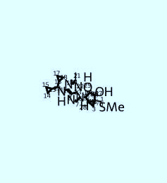 CSC[C@@]12C[C@@H]1[C@@H](n1cnc3c(NC(C4CC4)C4CC4)nc(I)nc31)[C@H](O)[C@@H]2O